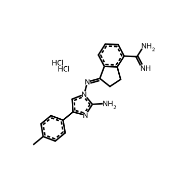 Cc1ccc(-c2cn(N=C3CCc4c(C(=N)N)cccc43)c(N)n2)cc1.Cl.Cl